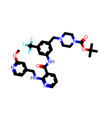 COc1cc(CNc2ncccc2C(=O)Nc2cc(CN3CCN(C(=O)OC(C)(C)C)CC3)cc(C(F)(F)F)c2)ccn1